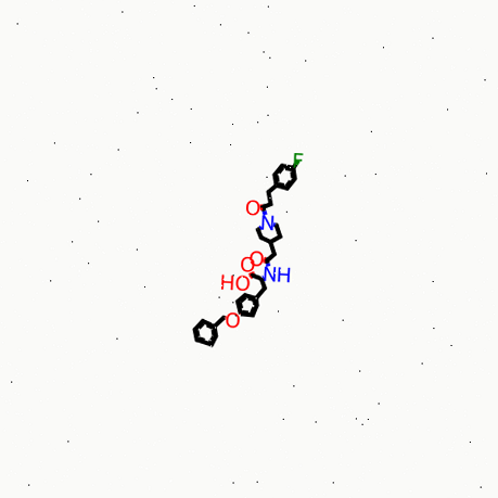 O=C(CC1CCN(C(=O)CCc2ccc(F)cc2)CC1)NC(Cc1ccc(OCc2ccccc2)cc1)C(=O)O